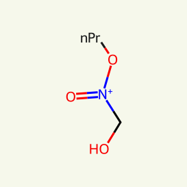 CCCO[N+](=O)CO